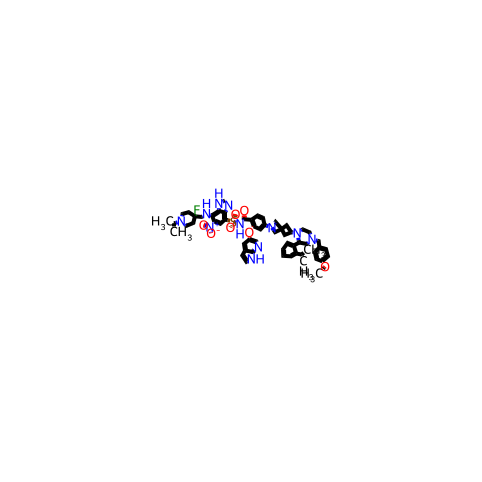 COc1ccc(CN2CCN(C3CC4(C3)CN(c3ccc(C(=O)NS(=O)(=O)c5cc([N+](=O)[O-])c(NCC6(F)CCN(C(C)C)CC6)c6[nH]cnc56)c(Oc5cnc6[nH]ccc6c5)c3)C4)C(c3ccccc3C(C)C)C2)cc1